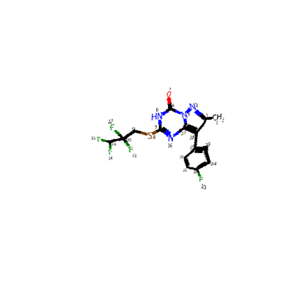 Cc1nn2c(=O)[nH]c(SCC(F)(F)C(F)F)nc2c1-c1ccc(F)cc1